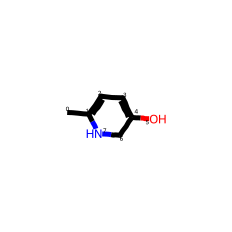 CC1=CC=C(O)CN1